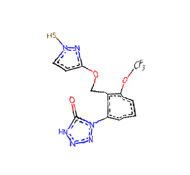 O=c1[nH]nnn1-c1cccc(OC(F)(F)F)c1COc1ccn(S)n1